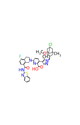 COC12CC3(C)CC(Cl)(CC(Cn4ncc(-c5ccc(N6CCc7c(F)ccc(C(=O)Nc8nc9ccccc9s8)c7C6)nc5C(=O)O)c4C)(C3)C1)C2